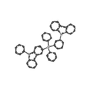 c1ccc(-n2c3ccccc3c3cc([Si](c4ccccc4)(c4ccccc4)c4cccc(-n5c6ccccc6c6ccccc65)c4)ccc32)cc1